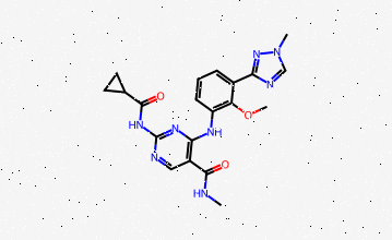 CNC(=O)c1cnc(NC(=O)C2CC2)nc1Nc1cccc(-c2ncn(C)n2)c1OC